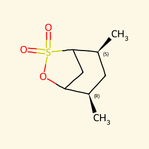 C[C@@H]1C[C@H](C)C2CC1OS2(=O)=O